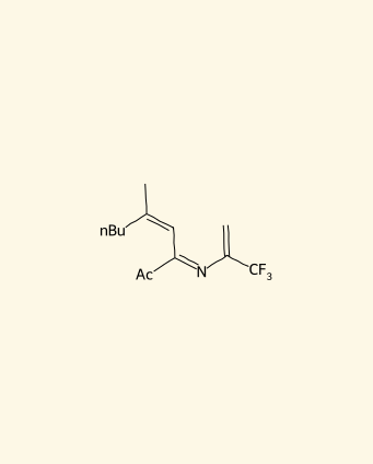 C=C(/N=C(\C=C(\C)CCCC)C(C)=O)C(F)(F)F